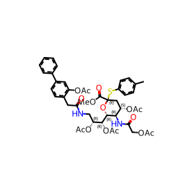 COC(=O)[C@]1(Sc2ccc(C)cc2)C[C@H](OC(C)=O)[C@@H](NC(=O)COC(C)=O)[C@H]([C@H](OC(C)=O)[C@@H](CNC(=O)Cc2ccc(-c3ccccc3)cc2OC(C)=O)OC(C)=O)O1